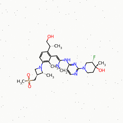 C=N/C(=C\c1c([C@@H](C)CO)ccc(N2C[C@H](CS(C)(=O)=O)[C@H]2C)c1C)Nc1ccnc(N2CC[C@@](C)(O)[C@@H](F)C2)n1